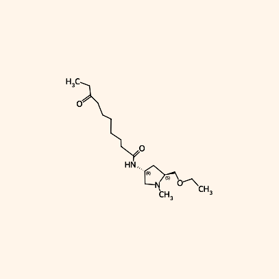 CCOC[C@@H]1C[C@@H](NC(=O)CCCCCCC(=O)CC)CN1C